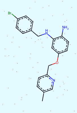 Cc1ccc(COc2ccc(N)c(NCc3ccc(Br)cc3)c2)nc1